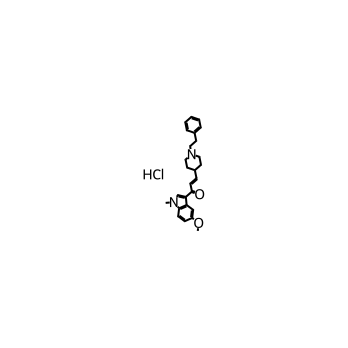 COc1ccc2c(c1)c(C(=O)/C=C/C1CCN(CCc3ccccc3)CC1)cn2C.Cl